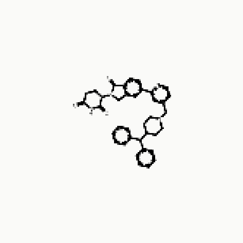 O=C1CCC(N2Cc3cc(-c4cc(CN5CCC(C(c6ccccc6)c6ccccc6)CC5)ccn4)ccc3C2=O)C(=O)N1